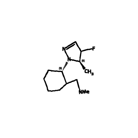 CNCC1CCCC[C@@H]1N1N=CC(F)[C@H]1C